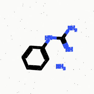 N.N=C(N)Nc1ccccc1